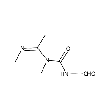 C/N=C(/C)N(C)C(=O)NC=O